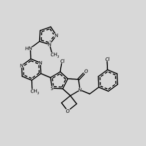 Cc1cnc(Nc2ccnn2C)nc1-c1sc2c(c1Cl)C(=O)N(Cc1cccc(Cl)c1)C21COC1